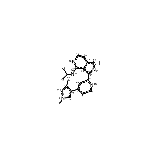 Cc1nn(C)cc1-c1ccnc(-c2n[nH]c3ccnc(NC(C)C)c23)c1